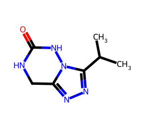 CC(C)c1nnc2n1NC(=O)NC2